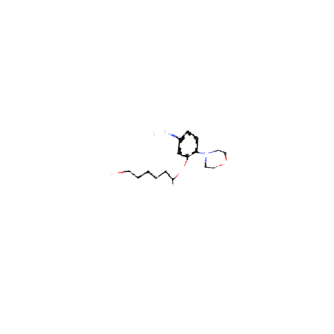 CC(CCCCCO)Oc1cc(N)ccc1N1CCOCC1